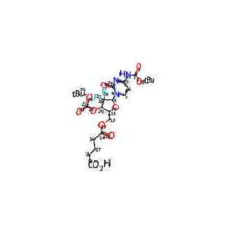 CC(C)(C)OC(=O)Nc1ccn(C2OC(COC(=O)CCCC(=O)O)C(OC(=O)OC(C)(C)C)C2(F)F)c(=O)n1